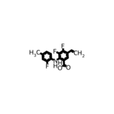 C=Cc1cc(C(=O)O)c(Nc2ccc(C)cc2F)c(F)c1F